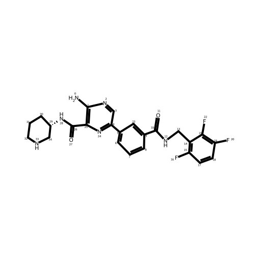 Nc1ncc(-c2cccc(C(=O)NCc3c(F)ccc(F)c3F)c2)nc1C(=O)N[C@H]1CCCNC1